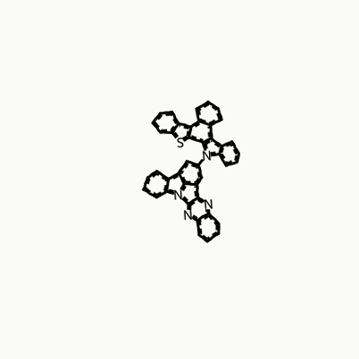 c1ccc2nc3c(nc2c1)c1cc(-n2c4ccccc4c4c5ccccc5c5c6ccccc6sc5c42)cc2c4ccccc4n3c21